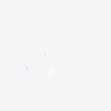 O=C(NN1NC=CO1)C(c1ccccc1)c1ccccc1